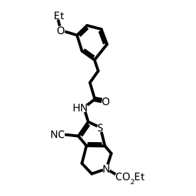 CCOC(=O)N1CCc2c(sc(NC(=O)CCc3cccc(OCC)c3)c2C#N)C1